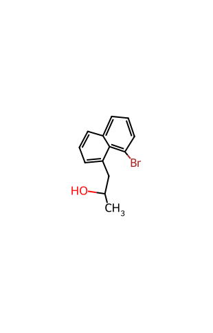 CC(O)Cc1cccc2cccc(Br)c12